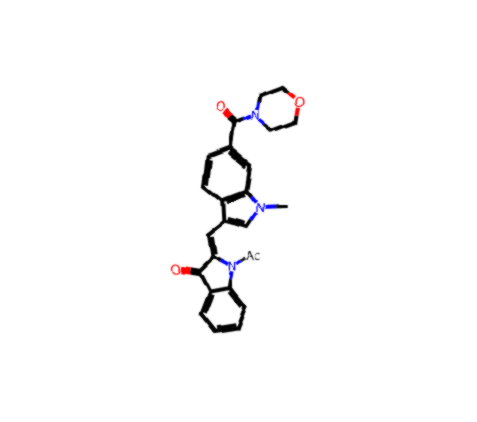 CC(=O)N1C(=Cc2cn(C)c3cc(C(=O)N4CCOCC4)ccc23)C(=O)c2ccccc21